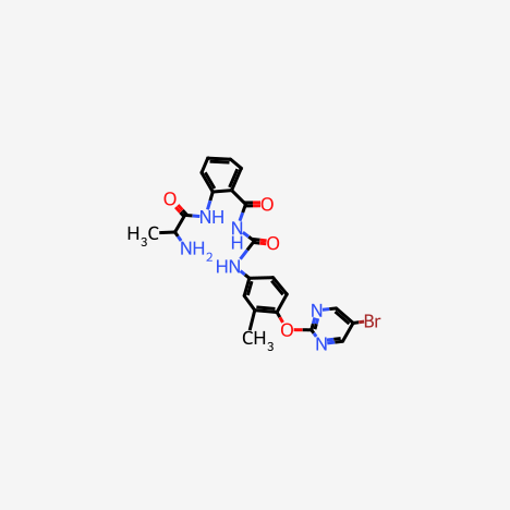 Cc1cc(NC(=O)NC(=O)c2ccccc2NC(=O)C(C)N)ccc1Oc1ncc(Br)cn1